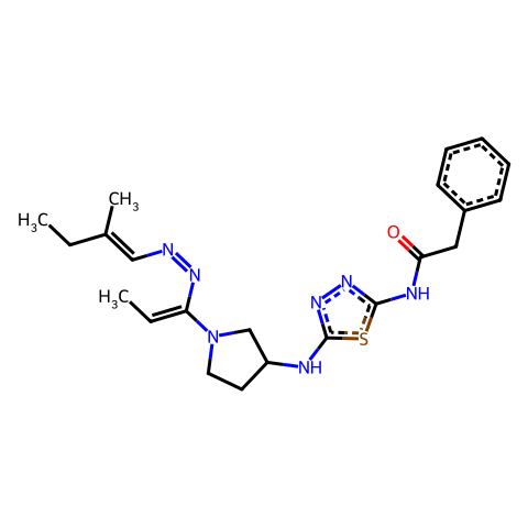 C\C=C(/N=N\C=C(/C)CC)N1CCC(Nc2nnc(NC(=O)Cc3ccccc3)s2)C1